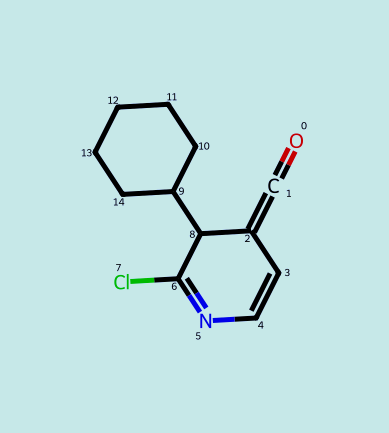 O=C=C1C=CN=C(Cl)C1C1CCCCC1